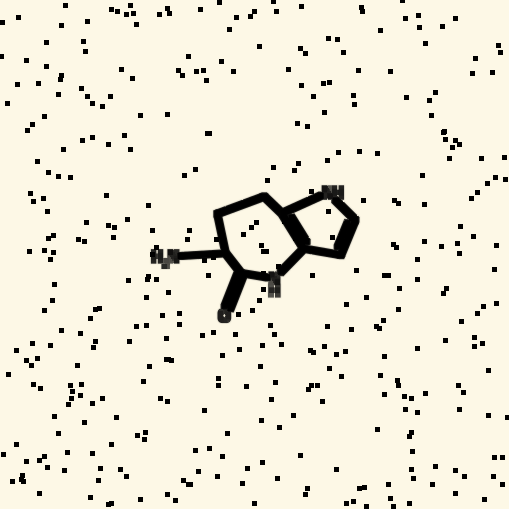 NC1CCc2[nH]ccc2NC1=O